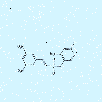 O=[N+]([O-])c1cc(C=CS(=O)(=O)Cc2ccc(Cl)cc2O)cc([N+](=O)[O-])c1